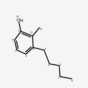 CCCCCc1cccc(O)c1C